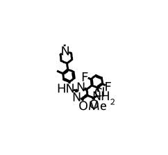 COc1nc(Nc2ccc(C3CCN(C)CC3)c(C)c2)nc(-c2c(F)ccc(F)c2Cl)c1C(N)=O